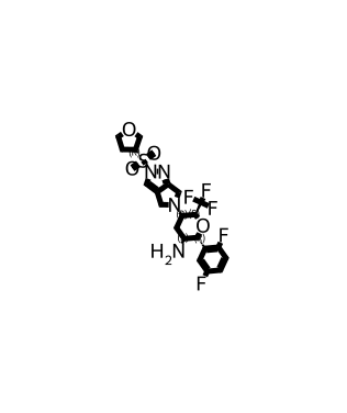 N[C@H]1C[C@@H](N2Cc3cn(S(=O)(=O)[C@@H]4CCOC4)nc3C2)[C@@H](C(F)(F)F)O[C@@H]1c1cc(F)ccc1F